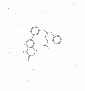 CN(C)CCN(Cc1ccccc1)Cc1cccc(-c2cnc3c(c2)OCC(=O)N3)c1